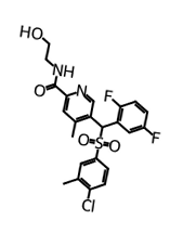 Cc1cc(S(=O)(=O)C(c2cnc(C(=O)NCCO)cc2C)c2cc(F)ccc2F)ccc1Cl